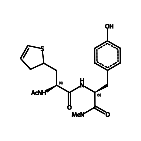 CNC(=O)[C@H](Cc1ccc(O)cc1)NC(=O)[C@H](CC1CC=CS1)NC(C)=O